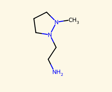 CN1CCCN1CCN